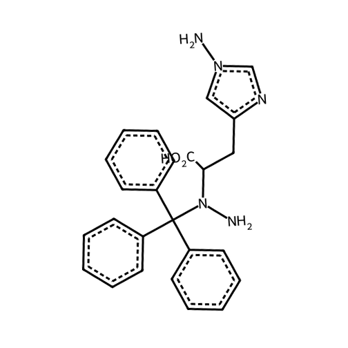 NN(C(Cc1cn(N)cn1)C(=O)O)C(c1ccccc1)(c1ccccc1)c1ccccc1